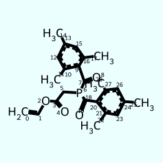 C=COC(=O)CP(C(=O)c1c(C)cc(C)cc1C)C(=O)c1c(C)cc(C)cc1C